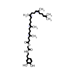 CC(C)=CCC/C(C)=C\CC/C(C)=C/CC/C=C(\C)CC/C=C(\C)CCC(=O)OCC(=O)NCCc1ccc(O)c(O)c1